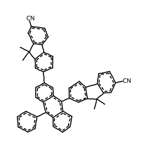 CC1(C)c2cc(C#N)ccc2-c2ccc(-c3ccc4c(-c5ccccc5)c5ccccc5c(-c5ccc6c(c5)C(C)(C)c5cc(C#N)ccc5-6)c4c3)cc21